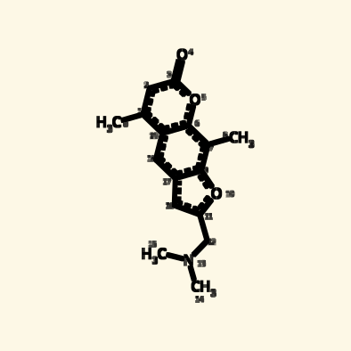 Cc1cc(=O)oc2c(C)c3oc(CN(C)C)cc3cc12